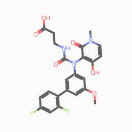 COc1cc(-c2ccc(F)cc2F)cc(N(C(=O)NCCC(=O)O)c2c(O)ccn(C)c2=O)c1